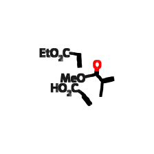 C=C(C)C(=O)OC.C=CC(=O)O.C=CC(=O)OCC